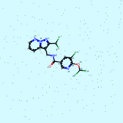 O=C(NCc1c(C(F)F)nn2ncccc12)c1cnc(OC(F)F)c(F)c1